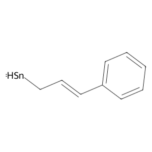 [SnH][CH2]C=Cc1ccccc1